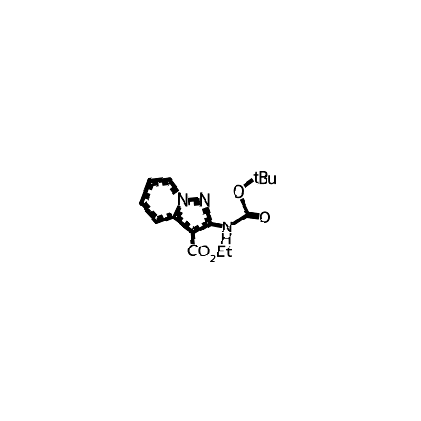 CCOC(=O)c1c(NC(=O)OC(C)(C)C)nn2ccccc12